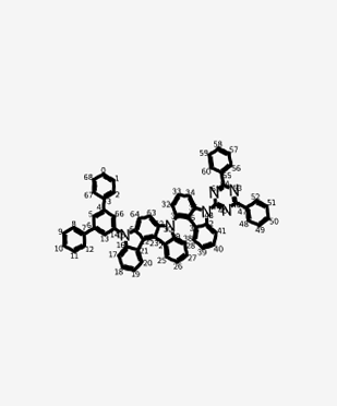 c1ccc(-c2cc(-c3ccccc3)cc(-n3c4ccccc4c4c5c6ccccc6n(-c6cccc7c6c6ccccc6n7-c6nc(-c7ccccc7)nc(-c7ccccc7)n6)c5ccc43)c2)cc1